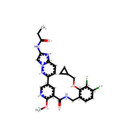 CCC(=O)Nc1cn2nc(-c3cnc(OC)c(C(=O)NCc4ccc(F)c(F)c4OCC4CC4)c3)ccc2n1